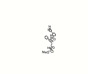 COCC1CCCN1NC(=O)CCc1cn(-c2ccccc2)c(NC(=O)c2cccc(-c3cn[nH]c3)c2)n1